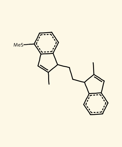 CSc1cccc2c1C=C(C)C2CCC1C(C)=Cc2ccccc21